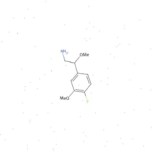 COc1cc(C(CN)OC)ccc1F